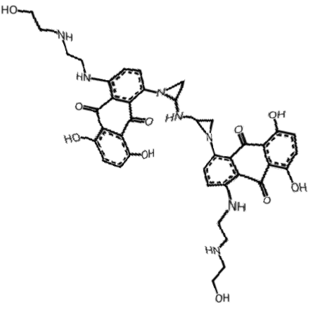 O=C1c2c(O)ccc(O)c2C(=O)c2c(N3CC3NC3CN3c3ccc(NCCNCCO)c4c3C(=O)c3c(O)ccc(O)c3C4=O)ccc(NCCNCCO)c21